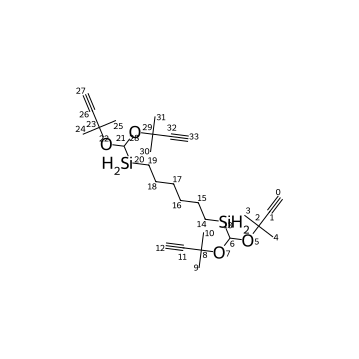 C#CC(C)(C)OC(OC(C)(C)C#C)[SiH2]CCCCCC[SiH2]C(OC(C)(C)C#C)OC(C)(C)C#C